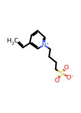 C=Cc1ccc[n+](CCCCS(=O)(=O)[O-])c1